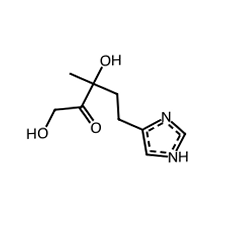 CC(O)(CCc1c[nH]cn1)C(=O)CO